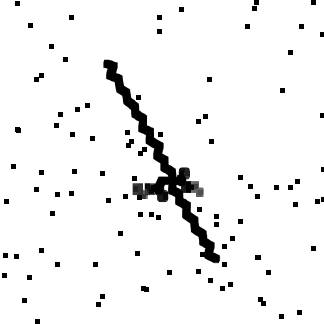 CCCCCCCCCCCCCCCCCCC(CCCCCCCCCCCC)(CC(N)=O)C(N)=O